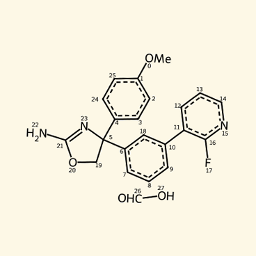 COc1ccc(C2(c3cccc(-c4cccnc4F)c3)COC(N)=N2)cc1.O=CO